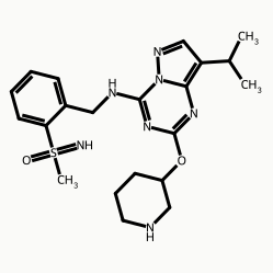 CC(C)c1cnn2c(NCc3ccccc3S(C)(=N)=O)nc(OC3CCCNC3)nc12